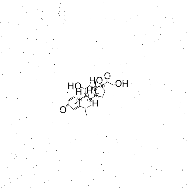 CC1C[C@@H]2[C@H](C(O)C[C@@]3(C)[C@H]2CC[C@]3(O)C(=O)CO)[C@@]2(C)C=CC(=O)C=C12